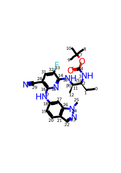 CC[C@H](NC(=O)OC(C)(C)C)[C@@H](C)Nc1nc(Nc2ccc3cnn(C)c3c2)c(C#N)cc1F